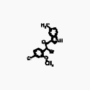 COc1cc(Cl)ccc1C(Br)C(=O)c1c[nH]c2ccc(C)cc12